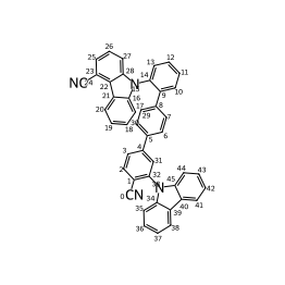 N#Cc1ccc(-c2ccc(-c3ccccc3-n3c4ccccc4c4c(C#N)cccc43)cc2)cc1-n1c2ccccc2c2ccccc21